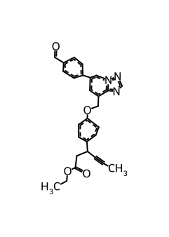 CC#CC(CC(=O)OCC)c1ccc(OCc2cc(-c3ccc(C=O)cc3)cn3ncnc23)cc1